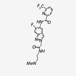 CNCCNC(=O)Cn1cc2cc(NC(=O)c3cccc(C(F)(F)F)n3)c(F)cc2n1